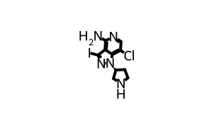 Nc1ncc(Cl)c2c1c(I)nn2[C@H]1CCNC1